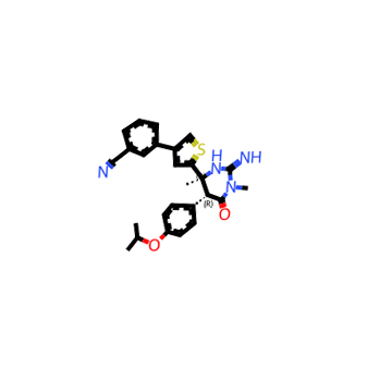 CC(C)Oc1ccc([C@H]2C(=O)N(C)C(=N)N[C@]2(C)c2cc(-c3cccc(C#N)c3)cs2)cc1